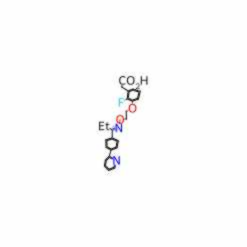 CC/C(=N\OCCOc1cccc(CC(=O)O)c1F)c1ccc(-c2ccccn2)cc1